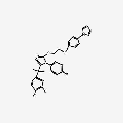 CC(C)(c1ccc(Cl)c(Cl)c1)c1cnc(SCCOc2ccc(-n3ccnc3)cc2)n1-c1ccc(F)cc1